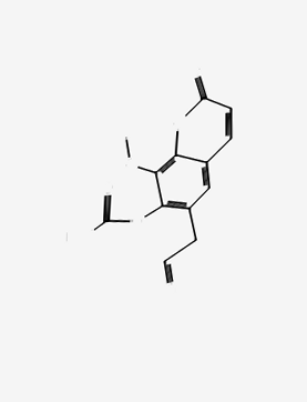 COc1c(OC(C)=O)c(CC=O)cc2ccc(=O)oc12